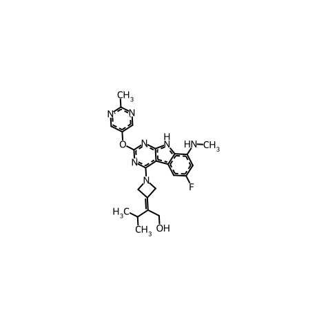 CNc1cc(F)cc2c1[nH]c1nc(Oc3cnc(C)nc3)nc(N3CC(=C(CO)C(C)C)C3)c12